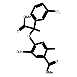 COC(=O)c1cc([N+](=O)[O-])c(OC(C)(C(=O)OC)c2cccc(C(F)(F)F)c2)cc1C